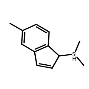 Cc1ccc2c(c1)C=CC2[SiH](C)C